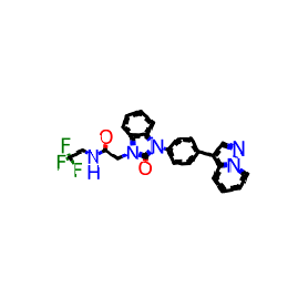 O=C(Cn1c(=O)n(-c2ccc(-c3cnn4ccccc34)cc2)c2ccccc21)NCC(F)(F)F